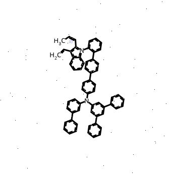 C=Cc1c(/C=C\C)n(-c2ccccc2-c2ccc(-c3ccc(N(c4cccc(-c5ccccc5)c4)c4cc(-c5ccccc5)cc(-c5ccccc5)c4)cc3)cc2)c2ccccc12